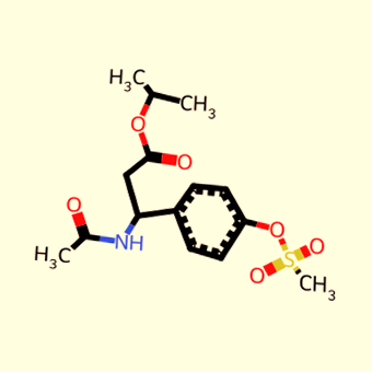 CC(=O)NC(CC(=O)OC(C)C)c1ccc(OS(C)(=O)=O)cc1